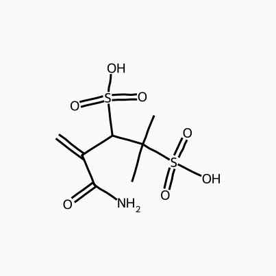 C=C(C(N)=O)C(C(C)(C)S(=O)(=O)O)S(=O)(=O)O